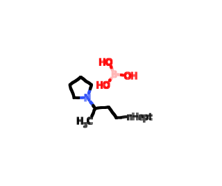 CCCCCCCCCC(C)N1CCCC1.OB(O)O